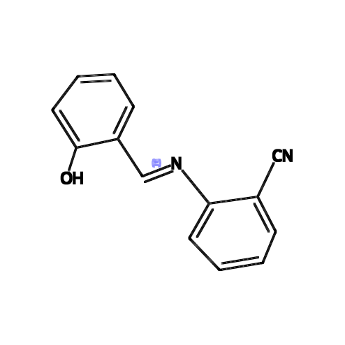 N#Cc1ccccc1/N=C/c1ccccc1O